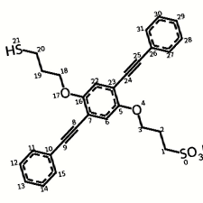 O=S(=O)(O)CCCOc1cc(C#Cc2ccccc2)c(OCCCS)cc1C#Cc1ccccc1